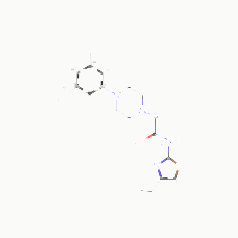 CCOC(=O)Cc1csc(NC(=O)CN2CCN(c3cc(C(F)(F)F)cc(C(F)(F)F)c3)CC2)n1